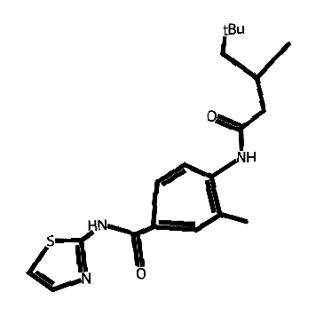 Cc1cc(C(=O)Nc2nccs2)ccc1NC(=O)CC(C)CC(C)(C)C